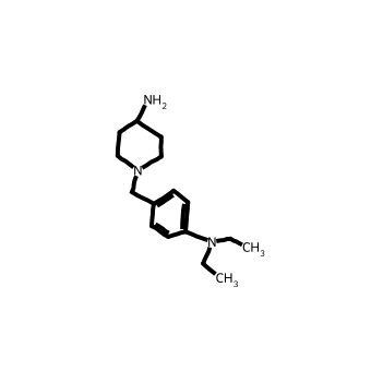 CCN(CC)c1ccc(CN2CCC(N)CC2)cc1